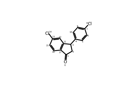 O=C1CC(c2ccc(Cl)cc2)c2cc(Cl)ccc21